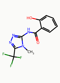 Cn1c(NC(=O)c2ccccc2O)nnc1C(F)(F)F